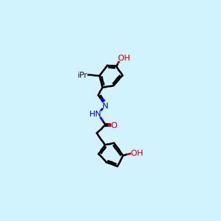 CC(C)c1cc(O)ccc1/C=N/NC(=O)Cc1cccc(O)c1